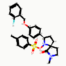 Cc1ccc(S(=O)(=O)ON2[C@@H](c3ccc(OCc4ccccc4F)cc3)CC[C@]23CCN(C)C3=O)cc1